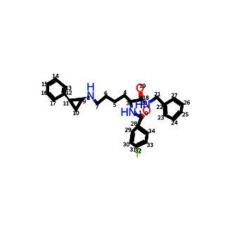 O=C(NC(CCCCN[C@@H]1C[C@H]1c1ccccc1)C(=O)NCc1ccccc1)c1ccc(F)cc1